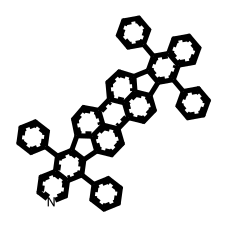 c1ccc(-c2c3c(c(-c4ccccc4)c4ccccc24)-c2ccc4c5ccc6c7c(ccc(c8ccc-3c2c84)c75)-c2c-6c(-c3ccccc3)c3cnccc3c2-c2ccccc2)cc1